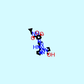 COc1cc(-n2cnc(Nc3nc(N4CCC[C@H]4CO)nn4cccc34)c2)cc(C(=O)NCC2CC2)c1OC